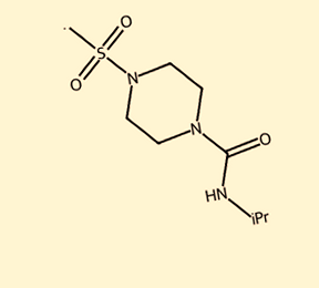 [CH2]S(=O)(=O)N1CCN(C(=O)NC(C)C)CC1